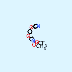 CC(OC(=O)N1CCC(OC2CCC(Oc3ccncc3)CC2)CC1)C(F)(F)F